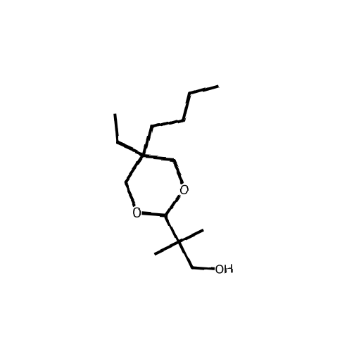 CCCCC1(CC)COC(C(C)(C)CO)OC1